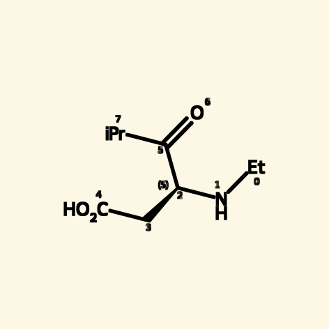 CCN[C@@H](CC(=O)O)C(=O)C(C)C